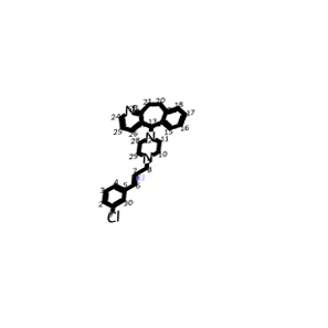 Clc1cccc(/C=C/CN2CCN(C3c4ccccc4CCc4ncccc43)CC2)c1